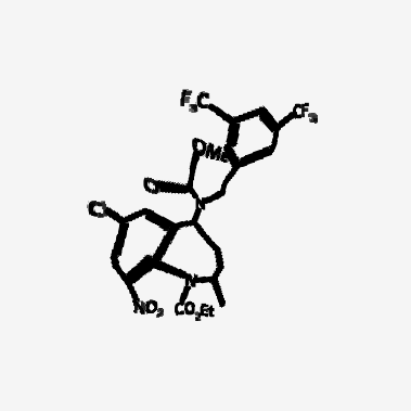 CCOC(=O)N1c2c(cc(Cl)cc2[N+](=O)[O-])C(N(Cc2cc(C(F)(F)F)cc(C(F)(F)F)c2)C(=O)OC)CC1C